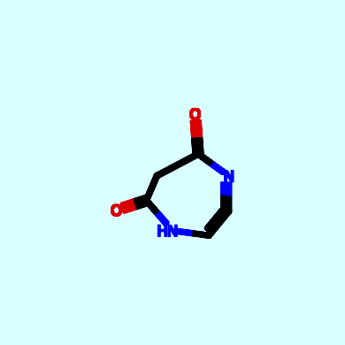 O=C1CC(=O)NC=C=N1